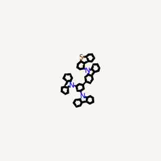 c1ccc2c(c1)sc1cccc(-n3c4ccccc4c4ccc(-c5cc(-n6c7ccccc7c7ccccc76)cc(-n6c7ccccc7c7ccccc76)c5)cc43)c12